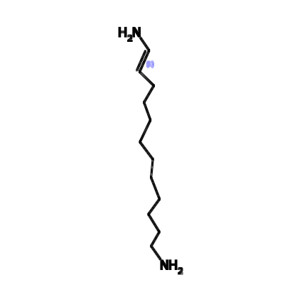 N/C=C/CCCCCCCCCCN